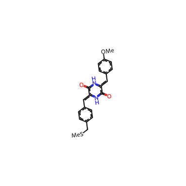 COc1ccc(/C=c2\[nH]c(=O)/c(=C/c3ccc(CSC)cc3)[nH]c2=O)cc1